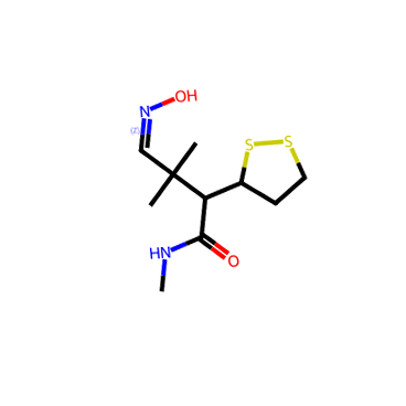 CNC(=O)C(C1CCSS1)C(C)(C)/C=N\O